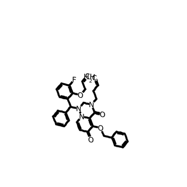 C=CCCN1CN(C(c2ccccc2)c2cccc(F)c2OCC=C)n2ccc(=O)c(OCc3ccccc3)c2C1=O